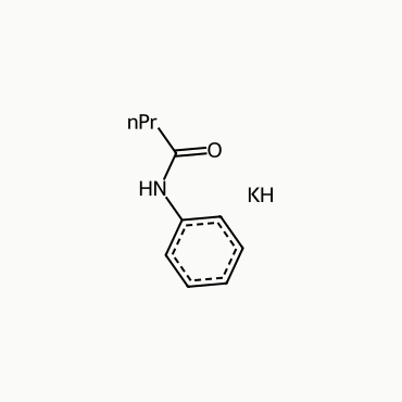 CCCC(=O)Nc1ccccc1.[KH]